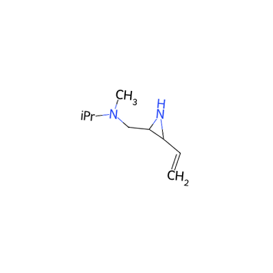 C=CC1NC1CN(C)C(C)C